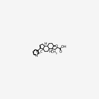 C[C@]1(CCC(=O)O)C(=O)CCC2[C@@H]1CC[C@]1(C)C(c3cccnc3)=CC[C@@H]21